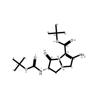 CC(C)(C)OC(=O)N[C@H]1CN2CC(N)=C(C(=O)OC(C)(C)C)N2C1=O